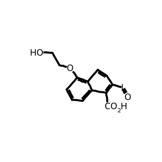 O=Ic1ccc2c(OCCO)cccc2c1C(=O)O